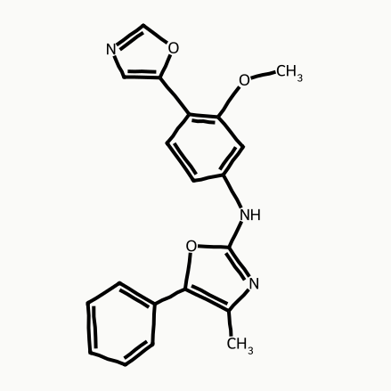 COc1cc(Nc2nc(C)c(-c3ccccc3)o2)ccc1-c1cnco1